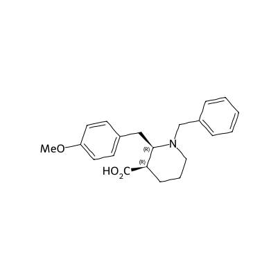 COc1ccc(C[C@@H]2[C@H](C(=O)O)CCCN2Cc2ccccc2)cc1